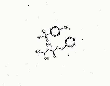 CC(O)C(N)C(=O)OCc1ccccc1.Cc1ccc(S(=O)(=O)O)cc1